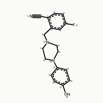 N#Cc1ccc(F)cc1CN1CCN(c2ccc(O)cc2)CC1